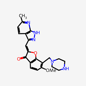 COc1ccc2c(c1CN1CCNCC1)OC(=Cc1n[nH]c3nc(C)ccc13)C2=O